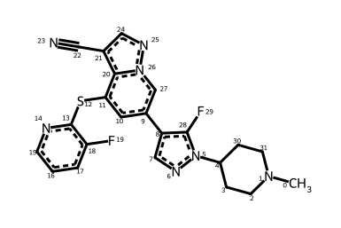 CN1CCC(n2ncc(-c3cc(Sc4ncccc4F)c4c(C#N)cnn4c3)c2F)CC1